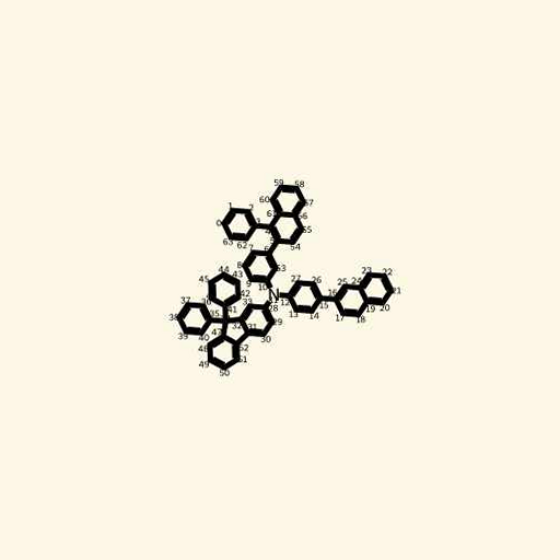 c1ccc(-c2c(-c3cccc(N(c4ccc(-c5ccc6ccccc6c5)cc4)c4ccc5c(c4)C(c4ccccc4)(c4ccccc4)c4ccccc4-5)c3)ccc3ccccc23)cc1